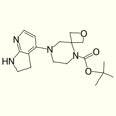 CC(C)(C)OC(=O)N1CCN(c2ccnc3c2CCN3)CC12COC2